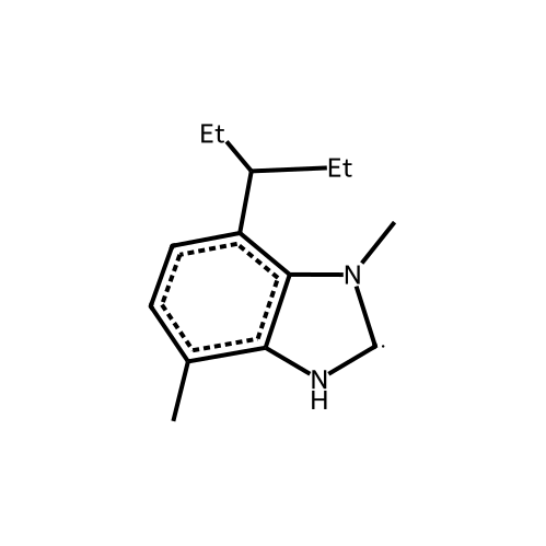 CCC(CC)c1ccc(C)c2c1N(C)[CH]N2